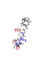 CC(CO)N(CCCc1ccc([N+](=O)[O-])cc1)CCNc1cc(=O)n(C)c(=O)n1C